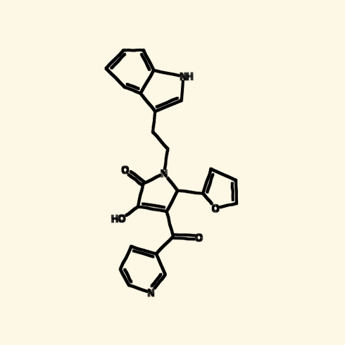 O=C(C1=C(O)C(=O)N(CCc2c[nH]c3ccccc23)C1c1ccco1)c1cccnc1